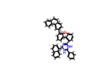 c1ccc(C2NC(c3cccc4oc5c(-c6ccc7ccc8ccccc8c7c6)cccc5c34)=NC(c3cccc4ccccc34)N2)cc1